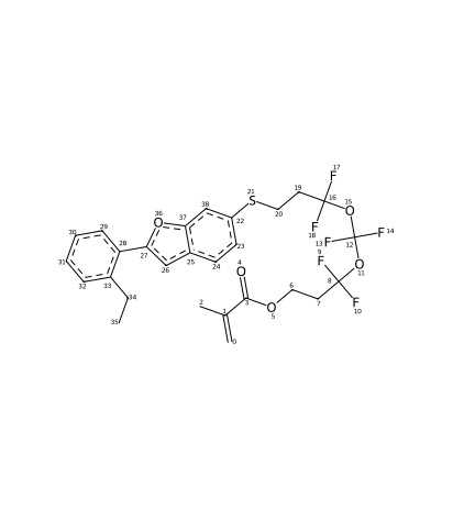 C=C(C)C(=O)OCCC(F)(F)OC(F)(F)OC(F)(F)CCSc1ccc2cc(-c3ccccc3CC)oc2c1